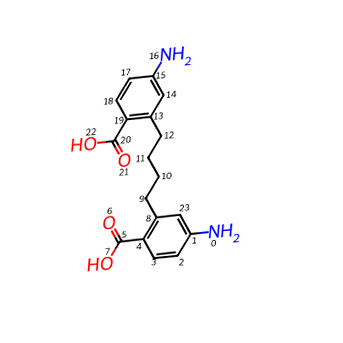 Nc1ccc(C(=O)O)c(CCCCc2cc(N)ccc2C(=O)O)c1